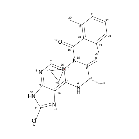 C=C([C@H](C)Nc1ncnc2[nH]c(Cl)nc12)N(C(=O)c1c(C)cccc1C)C1CC1